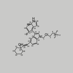 C[Si](C)(C)CCOCn1cc(-c2c(F)cnc3[nH]ccc23)c2cc(C#CC3(O)CCCCC3)ccc21